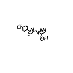 OCc1cnnn1CCc1csc(-c2ccc(Cl)cc2)n1